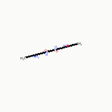 CCCCCCCCC(N)CCCCCCCCC(=O)NCCCCCCNC(=O)CCCCCCCCC(N)CCCCCCCC